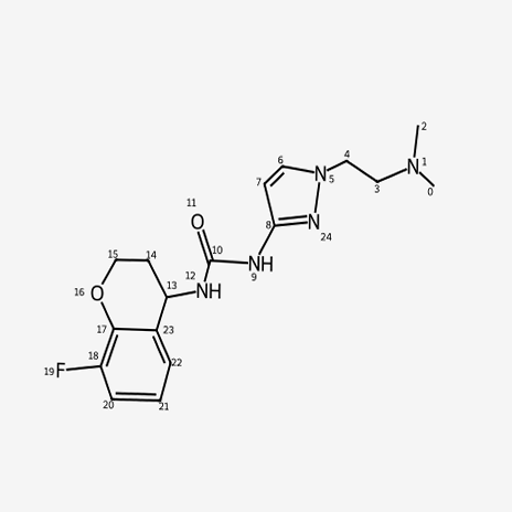 CN(C)CCn1ccc(NC(=O)NC2CCOc3c(F)cccc32)n1